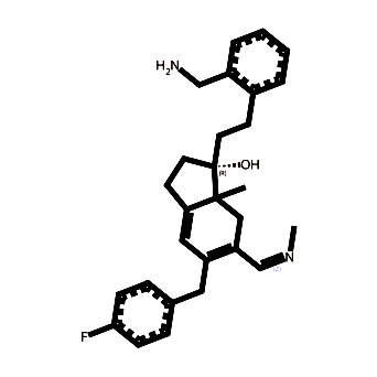 C/N=C\C1=C(Cc2ccc(F)cc2)C=C2CC[C@@](O)(CCc3ccccc3CN)C2(C)C1